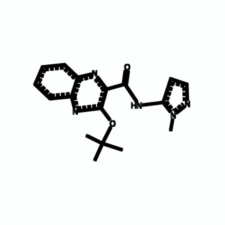 Cn1nccc1NC(=O)c1nc2ccccc2nc1OC(C)(C)C